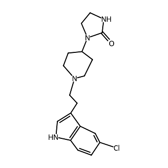 O=C1NCCN1C1CCN(CCc2c[nH]c3ccc(Cl)cc23)CC1